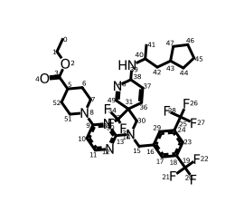 CCOC(=O)C1CCN(c2ccnc(N(Cc3cc(C(F)(F)F)cc(C(F)(F)F)c3)CC3(C(F)(F)F)C=CC(NC(C)CC4CCCC4)N=C3)n2)CC1